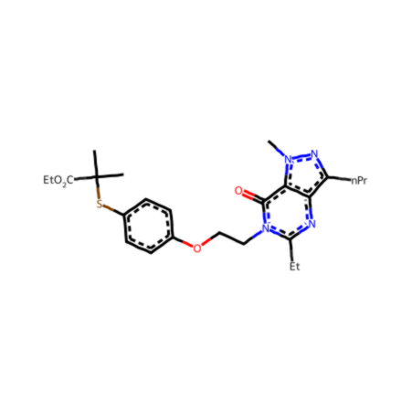 CCCc1nn(C)c2c(=O)n(CCOc3ccc(SC(C)(C)C(=O)OCC)cc3)c(CC)nc12